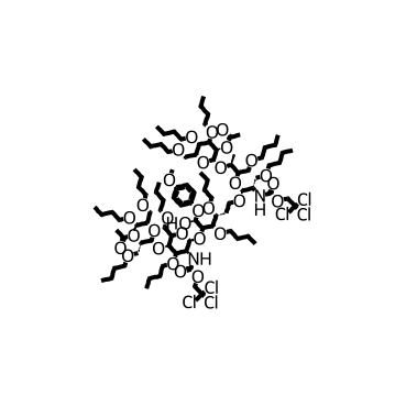 CCCCOCC1O[C@@H](OC(C(OCCCC)[C@@H](CCO[C@H](OC(COCCCC)[C@H](C)O[C@@H]2OC(COCCCC)[C@H](OCCCC)C(OCCCC)[C@@H]2OC(C)=O)[C@H](COCCCC)NC(=O)OCC(Cl)(Cl)Cl)OCCCC)[C@H](O)Oc2ccc(OC)cc2)[C@@H](NC(=O)OCC(Cl)(Cl)Cl)C(OCCCC)[C@@H]1O[C@H](OC(COCCCC)[C@@H](C)OCCCC)[C@H](COCCCC)OC(C)=O